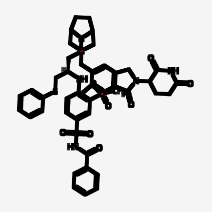 O=C1CCC(N2Cc3cc(CN4CC5CCC(C4)N5CC[C@H](CSc4ccccc4)Nc4ccc(S(=O)(=O)NC(=O)c5ccccc5)cc4S(=O)(=O)C(F)(F)F)c(F)cc3C2=O)C(=O)N1